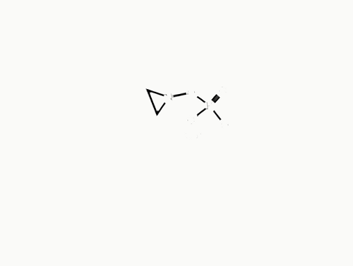 O=P([O-])([O-])ON1CC1.[Ca+2]